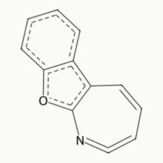 C1=CC=Cc2c(oc3ccccc23)N=1